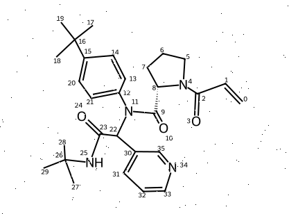 C=CC(=O)N1CCC[C@H]1C(=O)N(c1ccc(C(C)(C)C)cc1)C(C(=O)NC(C)(C)C)c1cccnc1